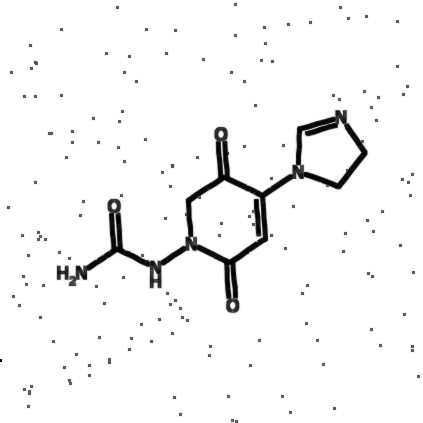 NC(=O)NN1CC(=O)C(N2C=NCC2)=CC1=O